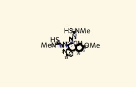 CN/C(S)=N/N=C(C)/C(=N/N=C(\S)NC)c1ncoc1-c1ccc(OC)cc1